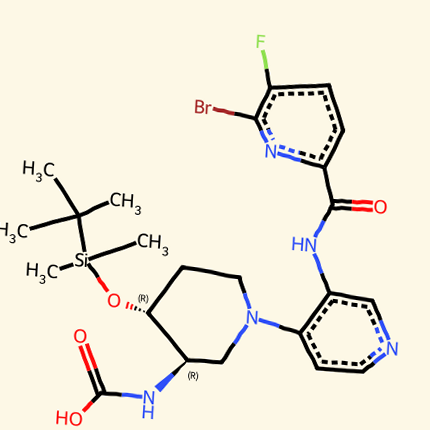 CC(C)(C)[Si](C)(C)O[C@@H]1CCN(c2ccncc2NC(=O)c2ccc(F)c(Br)n2)C[C@H]1NC(=O)O